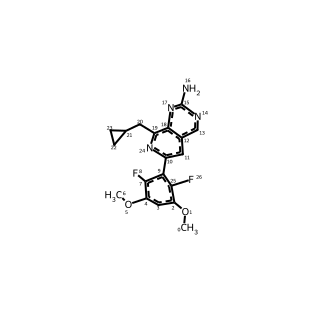 COc1cc(OC)c(F)c(-c2cc3cnc(N)nc3c(CC3CC3)n2)c1F